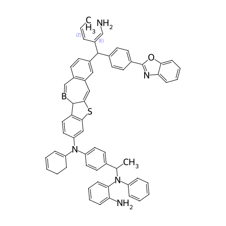 C/C=C\C(=C/N)C(c1ccc(-c2nc3ccccc3o2)cc1)c1ccc2c(c1)C=C1Sc3cc(N(C4=CC=CCC4)c4ccc(C(C)N(c5ccccc5)c5ccccc5N)cc4)ccc3C1B=C2